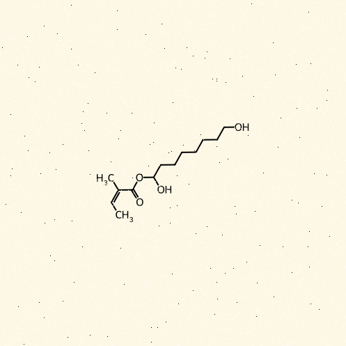 CC=C(C)C(=O)OC(O)CCCCCCCO